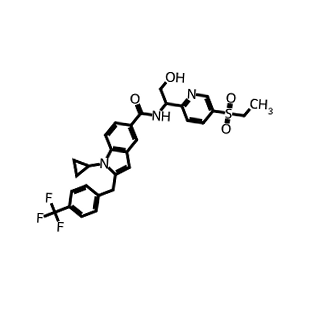 CCS(=O)(=O)c1ccc(C(CO)NC(=O)c2ccc3c(c2)cc(Cc2ccc(C(F)(F)F)cc2)n3C2CC2)nc1